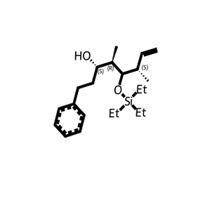 C=C[C@H](C)C(O[Si](CC)(CC)CC)[C@H](C)[C@@H](O)CCc1ccccc1